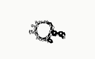 CC[C@H](C)[C@@H]1NC(=O)[C@@H]2CCCN2C(=O)[C@H](Cc2cccc(-c3ccc4ccncc4c3)c2)N(C)C(=O)[C@H](Cc2ccccc2)NC(=O)[C@H](C(C)C)N(C)C(=O)[C@@H]([C@@H](C)CC)OC(=O)[C@H](C(C)(C)O)N(C)C(=O)[C@H](CC(C)C)NC(=O)[C@H](C(C)C)N(C)C1=O